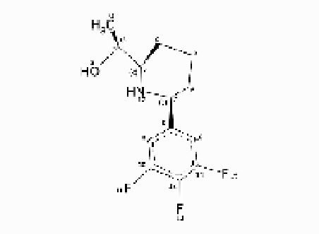 C[C@H](O)[C@H]1CCC[C@@H](c2cc(F)c(F)c(F)c2)N1